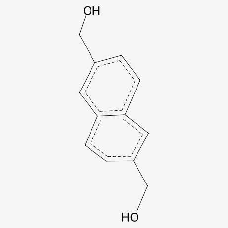 OCc1ccc2cc(CO)ccc2c1